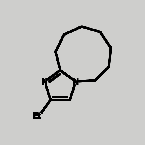 CCc1cn2c(n1)CCCCCCC2